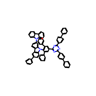 c1ccc(-c2ccc(-c3nc(-c4ccc(-c5ccccc5)cc4)nc(-c4cc(-c5ccccc5)c(-n5c6ccc(-c7ccccc7)cc6c6ccc(-n7c8ccccc8c8ccccc87)cc65)c(-c5ccccc5)c4)n3)cc2)cc1